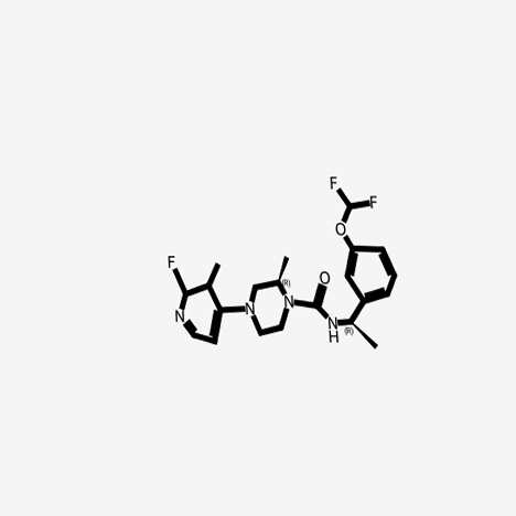 CC1C(N2CCN(C(=O)N[C@H](C)c3cccc(OC(F)F)c3)[C@H](C)C2)=CC=NC1F